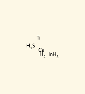 S.[CaH2].[InH3].[Ti]